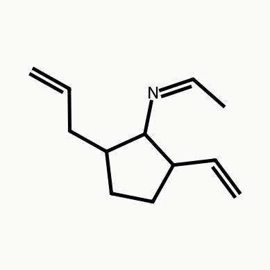 C=CCC1CCC(C=C)C1/N=C\C